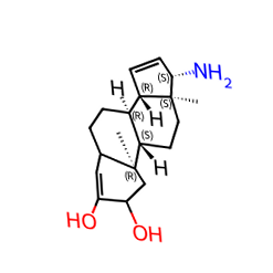 C[C@]12CC[C@H]3[C@@H](CCC4C=C(O)C(O)C[C@@]43C)[C@@H]1C=C[C@@H]2N